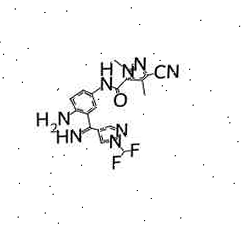 Cc1c(C#N)nn(C)c1C(=O)Nc1ccc(N)c(C(=N)c2cnn(C(F)F)c2)c1